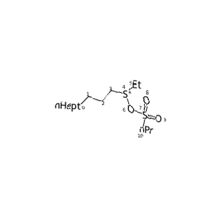 CCCCCCCCCC[S+](CC)OS(=O)(=O)CCC